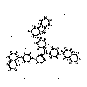 c1cc(-c2ccc(-c3cccc4ccccc34)cc2)cc(N(c2ccc(-c3ccc4ccccc4c3)cc2)c2ccc(-c3cccc4c3oc3ccccc34)cc2)c1